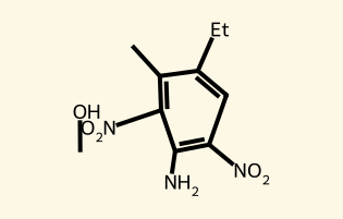 CCc1cc([N+](=O)[O-])c(N)c([N+](=O)[O-])c1C.CO